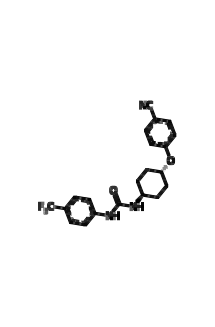 N#Cc1ccc(O[C@H]2CC[C@H](NC(=O)Nc3ccc(C(F)(F)F)cc3)CC2)cc1